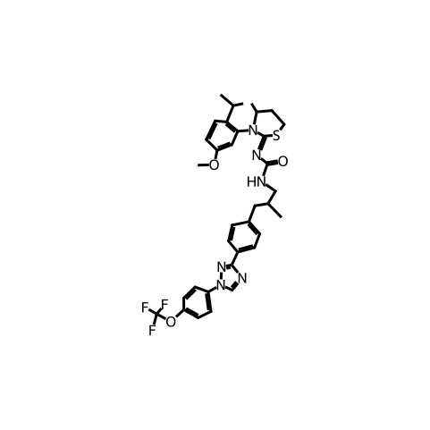 COc1ccc(C(C)C)c(N2/C(=N/C(=O)NCC(C)Cc3ccc(-c4ncn(-c5ccc(OC(F)(F)F)cc5)n4)cc3)SCCC2C)c1